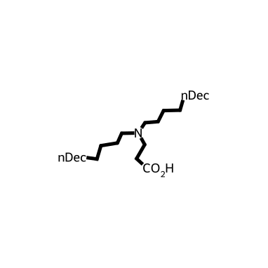 CCCCCCCCCCCCCCN(CCCCCCCCCCCCCC)CCC(=O)O